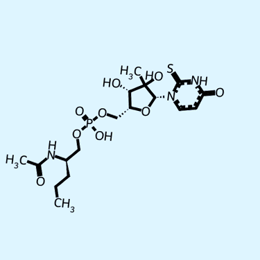 CCC[C@H](COP(=O)(O)OC[C@H]1O[C@@H](n2ccc(=O)[nH]c2=S)C(C)(O)[C@H]1O)NC(C)=O